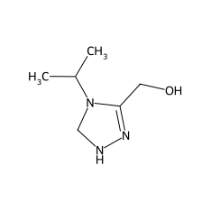 CC(C)N1CNN=C1CO